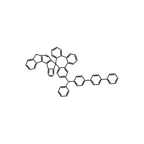 c1ccc(-c2ccc(-c3ccc(N(c4ccccc4)c4ccc5c(c4)-c4ccccc4-c4ccccc4C54c5ccccc5-c5c4ccc4c5-c5ccccc5C4)cc3)cc2)cc1